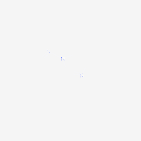 Cc1cn2nccc(C)c2n1